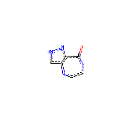 O=c1nccnc2c[nH]nc12